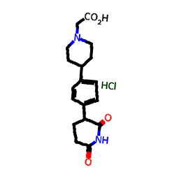 Cl.O=C(O)CN1CCC(c2ccc(C3CCC(=O)NC3=O)cc2)CC1